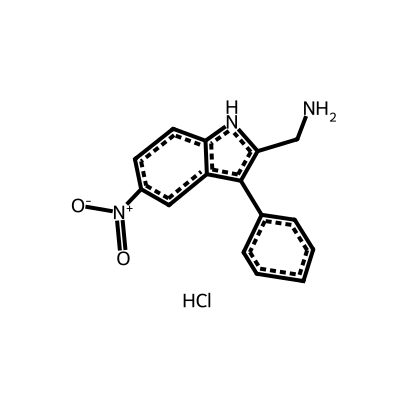 Cl.NCc1[nH]c2ccc([N+](=O)[O-])cc2c1-c1ccccc1